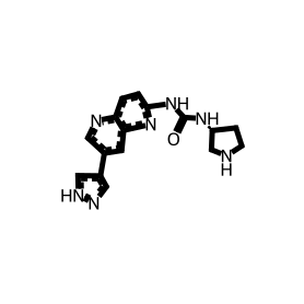 O=C(Nc1ccc2ncc(-c3cn[nH]c3)cc2n1)N[C@@H]1CCNC1